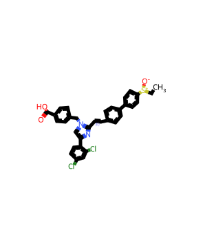 CC[S+]([O-])c1ccc(-c2ccc(/C=C/c3nc(-c4ccc(Cl)cc4Cl)cn3Cc3ccc(C(=O)O)cc3)cc2)cc1